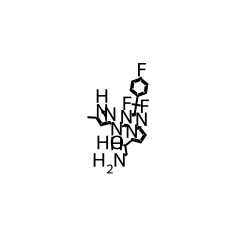 Cc1cc(Nc2nc(C(F)(F)c3ccc(F)cc3)nc3ccc(C(O)CN)n23)n[nH]1